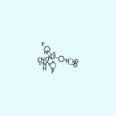 N#CC1(NC(=O)[C@@H]2C[C@@H](F)CC[C@H]2c2nc(-c3ccc(F)cn3)sc2-c2ccc(N3CCS(=O)(=O)CC3)cc2)CC1